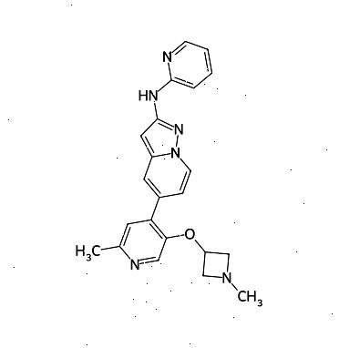 Cc1cc(-c2ccn3nc(Nc4ccccn4)cc3c2)c(OC2CN(C)C2)cn1